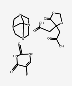 C1N2CN3CN1CN(C2)C3.O=C(O)CC1(CC(=O)O)OCOC1=O.O=c1[nH]cc(F)c(=O)[nH]1